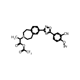 CC(C)Oc1ccc(-c2nc(-c3ccc4c(c3)CCN(C(C)C(=O)OC(=O)C(F)(F)F)CC4)no2)cc1C#N